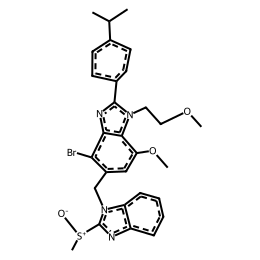 COCCn1c(-c2ccc(C(C)C)cc2)nc2c(Br)c(Cn3c([S+](C)[O-])nc4ccccc43)cc(OC)c21